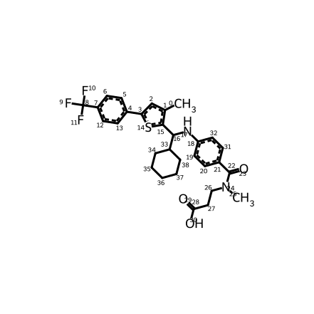 Cc1cc(-c2ccc(C(F)(F)F)cc2)sc1C(Nc1ccc(C(=O)N(C)CCC(=O)O)cc1)C1CCCCC1